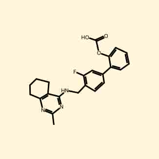 Cc1nc2c(c(NCc3ccc(-c4ccccc4OC(=O)O)cc3F)n1)CCCC2